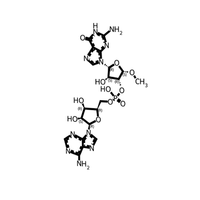 CO[C@H]1O[C@@H](n2cnc3c(=O)[nH]c(N)nc32)[C@@H](O)[C@H]1OP(=O)(O)OC[C@H]1O[C@@H](n2cnc3c(N)ncnc32)[C@@H](O)[C@H]1O